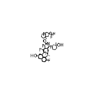 CCc1c(F)ccc2cc(O)cc(-c3ncc4c(N5CCCC(C)(O)C5)nc(OCC56CCCN5CC5(C6)CC5(F)F)nc4c3F)c12